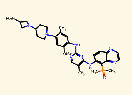 CNC1CN(C2CCN(c3cc(OC)c(Nc4ncc(C(F)(F)F)c(Nc5ccc6nccnc6c5P(C)(C)=O)n4)cc3C)CC2)C1